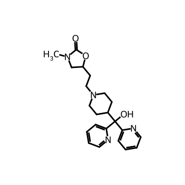 CN1CC(CCN2CCC(C(O)(c3ccccn3)c3ccccn3)CC2)OC1=O